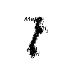 COc1ccc(F)cc1C(=O)NCc1ccc(-c2nn(C3CCN(C4CN(C5CN(c6ccc7c(c6)C(=O)N(C6CCC(=O)NC6=O)C7=O)C5)C4)CC3)c3ncnc(N)c23)cc1